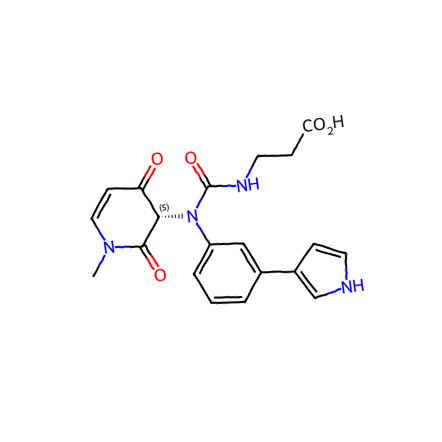 CN1C=CC(=O)[C@H](N(C(=O)NCCC(=O)O)c2cccc(-c3cc[nH]c3)c2)C1=O